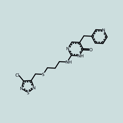 O=c1[nH]c(NCCCSCc2nsnc2Cl)ncc1Cc1cccnc1